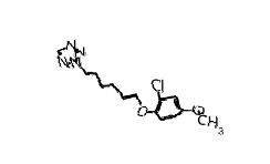 COc1ccc(OCCCCCCn2ncnn2)c(Cl)c1